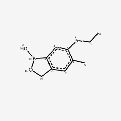 CCSc1cc2c(cc1C)COB2O